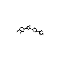 Fc1ccc(-c2csc(-c3ccc(-c4csnn4)cc3)n2)cc1F